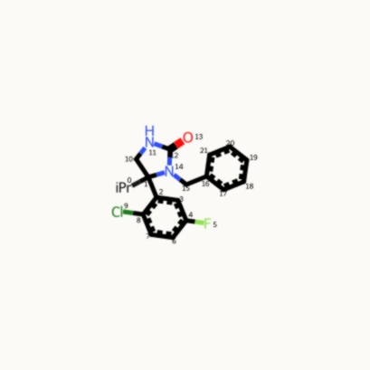 CC(C)C1(c2cc(F)ccc2Cl)CNC(=O)N1Cc1ccccc1